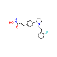 O=C(/C=C/c1ccc(C2CCCN2CCc2ccccc2F)cc1)NO